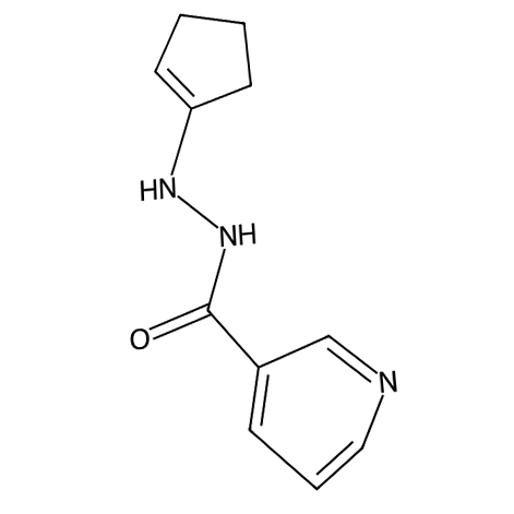 O=C(NNC1=CCCC1)c1cccnc1